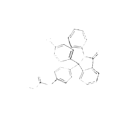 COC(=O)Oc1ccc(C2(c3ccc(C)cc3)c3ccccc3C(=O)N2c2ccccc2)cc1